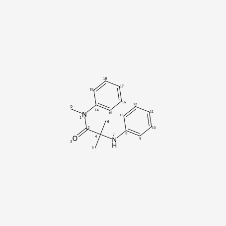 CN(C(=O)C(C)(C)Nc1ccccc1)c1ccccc1